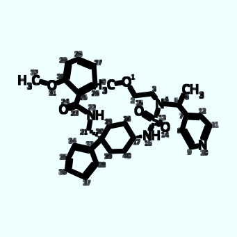 COCCN(C(C)c1ccncc1)S(=O)(=O)N[C@H]1CC[C@](CNC(=O)c2ccccc2OC)(c2ccccc2)CC1